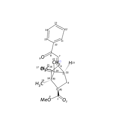 COC(=O)[C@@H]1C[C@@H]2/C(=C/C(=O)c3ccccc3)C(=O)[C@@]1(C)C2(C)C